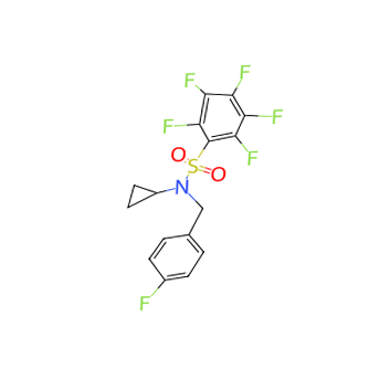 O=S(=O)(c1c(F)c(F)c(F)c(F)c1F)N(Cc1ccc(F)cc1)C1CC1